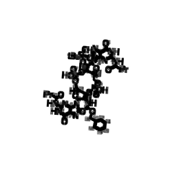 CC(C)C(=O)Nc1nc2c(ncn2[C@@H]2O[C@@H]3COP(=O)(O)O[C@H]4[C@@H](O[Si](C)(C)C(C)(C)C)[C@H](n5cnc6c(=O)[nH]c(NC(=O)C(C)C)nc65)O[C@@H]4COP(=O)(O)O[C@H]3[C@H]2NC(=O)OCc2ccccc2)c(=O)[nH]1